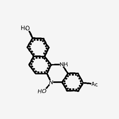 CC(=O)c1ccc2c(c1)Nc1c(ccc3cc(O)ccc13)N2O